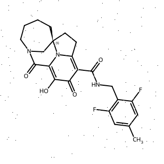 Cc1cc(F)c(CNC(=O)c2c3n4c(c(O)c2=O)C(=O)N2CCCC[C@]4(CC3)C2)c(F)c1